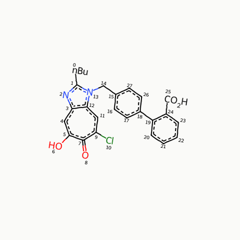 CCCCc1nc2cc(O)c(=O)c(Cl)cc2n1Cc1ccc(-c2ccccc2C(=O)O)cc1